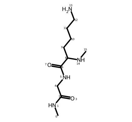 CNC(=O)CNC(=O)C(CCCCN)NC